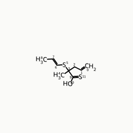 C=CCC(C)(SC=CC)C(O)=S